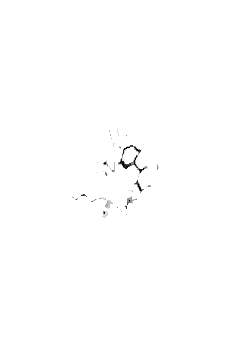 CCCCCNN1CC(C)=C(C(=O)c2ccc(N)c([N+](=O)[O-])c2)S1